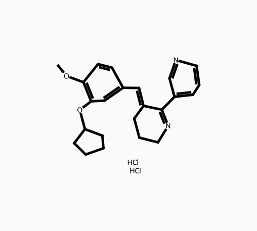 COc1ccc(C=C2CCCN=C2c2cccnc2)cc1OC1CCCC1.Cl.Cl